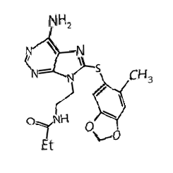 CCC(=O)NCCn1c(Sc2cc3c(cc2C)OCO3)nc2c(N)ncnc21